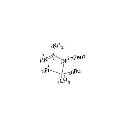 CCCCCN(C(=N)N)C(C)(CCC)CCCC